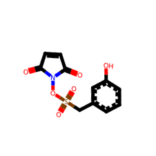 O=C1C=CC(=O)N1OS(=O)(=O)Cc1cccc(O)c1